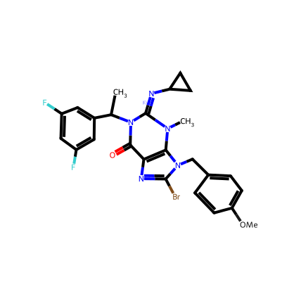 COc1ccc(Cn2c(Br)nc3c(=O)n(C(C)c4cc(F)cc(F)c4)/c(=N/C4CC4)n(C)c32)cc1